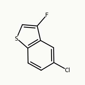 Fc1csc2ccc(Cl)cc12